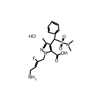 Cc1nn(CC(F)=CCN)c(C(=O)O)c1C(c1ccccc1)S(=O)(=O)N(C)C.Cl